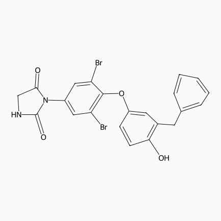 O=C1CNC(=O)N1c1cc(Br)c(Oc2ccc(O)c(Cc3ccccc3)c2)c(Br)c1